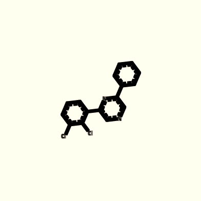 Clc1cccc(-c2cncc(-c3ccccc3)n2)c1Cl